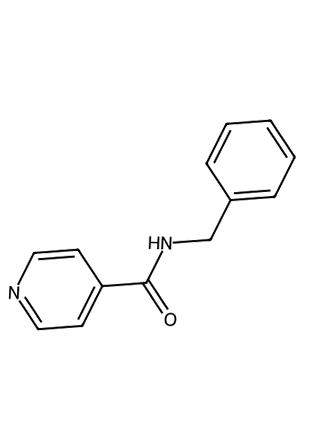 O=C(NCc1ccccc1)c1ccncc1